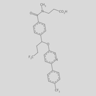 CN(CCC(=O)O)C(=O)c1ccc(C(CCC(F)(F)F)Oc2ccc(-c3ccc(C(F)(F)F)cc3)nc2)cc1